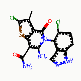 Cc1c(Cl)sc2c(C(N)=O)c(N)n(-c3c(Cl)ccc4[nH]ncc34)c(=O)c12